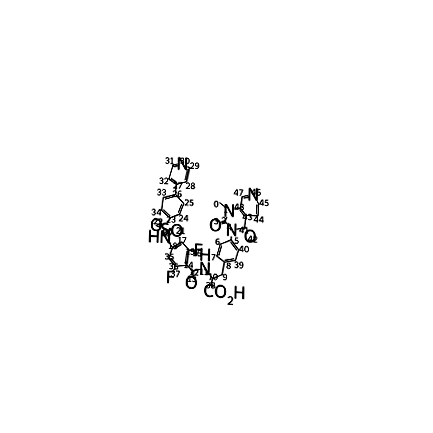 Cn1c(=O)n(-c2ccc(C[C@H](NC(=O)c3c(F)cc(NS(=O)(=O)c4ccc(-c5ccncc5)cc4)cc3F)C(=O)O)cc2)c(=O)c2ccncc21